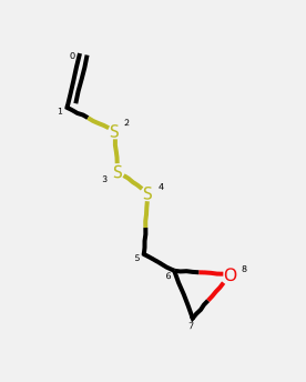 C=CSSSCC1CO1